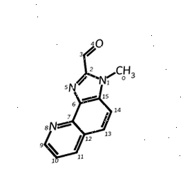 Cn1c(C=O)nc2c3ncccc3ccc21